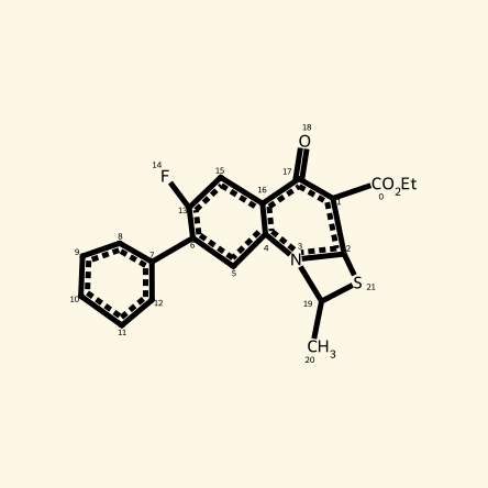 CCOC(=O)c1c2n(c3cc(-c4ccccc4)c(F)cc3c1=O)C(C)S2